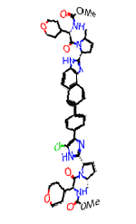 COC(=O)N[C@H](C(=O)N1C(C)CC[C@H]1c1nc2c(ccc3cc(-c4ccc(-c5nc([C@@H]6CC[C@H](C)N6C(=O)[C@@H](NC(=O)OC)C6CCOCC6)[nH]c5Cl)cc4)ccc32)[nH]1)C1CCOCC1